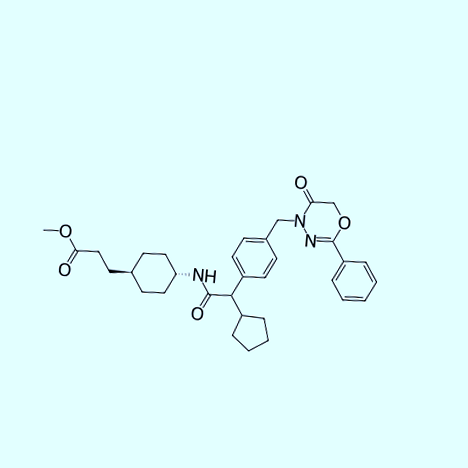 COC(=O)CC[C@H]1CC[C@H](NC(=O)C(c2ccc(CN3N=C(c4ccccc4)OCC3=O)cc2)C2CCCC2)CC1